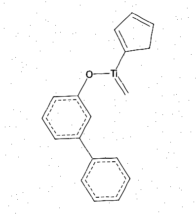 [CH2]=[Ti]([O]c1cccc(-c2ccccc2)c1)[C]1=CC=CC1